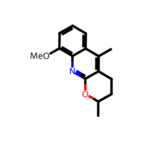 COc1cccc2c(C)c3c(nc12)OC(C)CC3